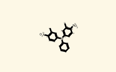 Cc1cc(N(c2ccccc2)c2ccc([N+](=O)[O-])c(C)c2)ccc1[N+](=O)[O-]